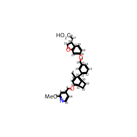 COc1cc(COc2cc(C)c(-c3cccc(COc4ccc5c(c4)OC[C@H]5CC(=O)O)c3)c3c2CC3)ccn1